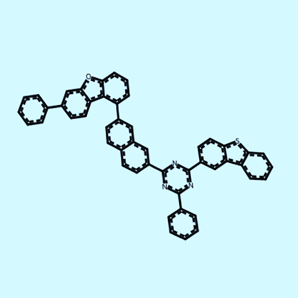 c1ccc(-c2ccc3c(c2)oc2cccc(-c4ccc5ccc(-c6nc(-c7ccccc7)nc(-c7ccc8sc9ccccc9c8c7)n6)cc5c4)c23)cc1